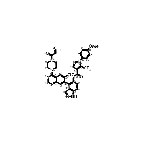 C=CC(=O)N1CCN(c2ncnc3cc(-c4c(NC(=O)c5cnn(-c6ccc(OC)cc6)c5C(F)(F)F)ccc5[nH]ncc45)c(Cl)cc23)CC1